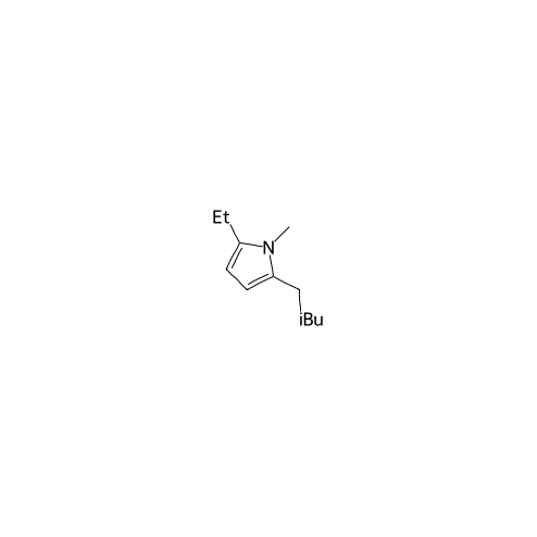 CCc1ccc(CC(C)CC)n1C